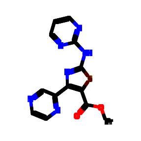 CC(C)OC(=O)c1sc(Nc2ncccn2)nc1-c1cnccn1